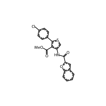 COC(=O)c1c(NC(=O)c2cc3ccccc3o2)csc1-c1ccc(Cl)cc1